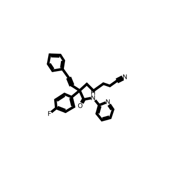 N#CCCCCC(C#Cc1ccccc1)(C(=O)Nc1ccccn1)c1ccc(F)cc1